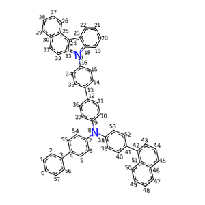 c1ccc(-c2ccc(N(c3ccc(-c4ccc(-n5c6ccccc6c6c7ccccc7ccc65)cc4)cc3)c3ccc(-c4cccc5ccccc45)cc3)cc2)cc1